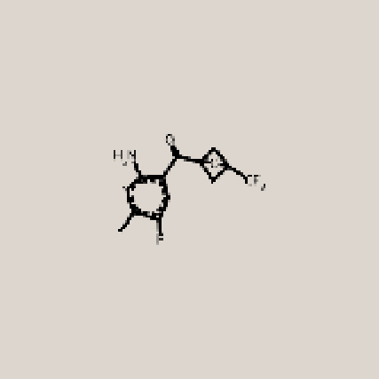 Cc1nc(N)c(C(=O)C23CC(C(F)(F)F)(C2)C3)cc1F